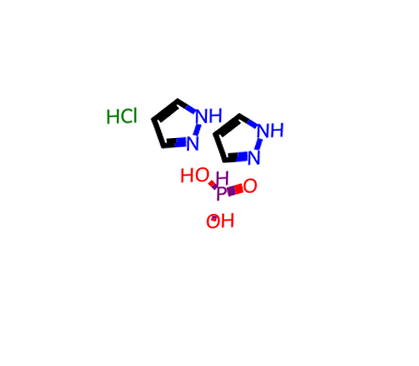 Cl.O=[PH](O)O.c1cn[nH]c1.c1cn[nH]c1